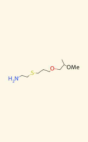 COC(C)COCCCSCCN